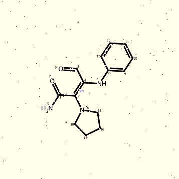 NC(=O)/C(=C(\C=O)Nc1ccccc1)N1CCCC1